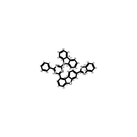 c1ccc(-c2nc(-c3cccc4oc5cc(-c6nc7ccccc7s6)ccc5c34)nc(-n3c4ccccc4c4ccccc43)n2)cc1